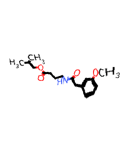 COc1cccc(CC(=O)NCCCC(=O)OCC(C)C)c1